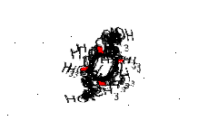 COC(c1ccc(C[C@H]2OC(=O)[C@H](CC(C)C)N(C)C(=O)[C@@H](C)OC(=O)[C@H](CC(C)C)N(C)C(=O)[C@@H](Cc3ccc(C(OC)c4ccc(O)nc4)cc3)OC(=O)[C@H](CC(C)C)N(C)C(=O)[C@@H](C)OC(=O)[C@H](CC(C)C)N(C)C2=O)cc1)c1ccc(O)nc1